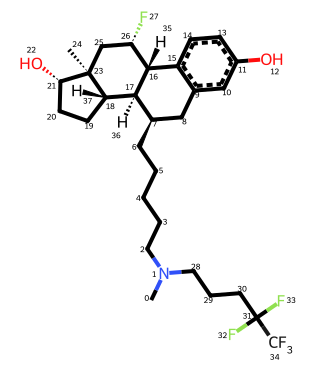 CN(CCCCC[C@@H]1Cc2cc(O)ccc2[C@@H]2[C@@H]1[C@@H]1CC[C@H](O)[C@@]1(C)C[C@@H]2F)CCCC(F)(F)C(F)(F)F